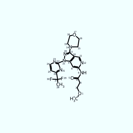 COCCC(=O)Nc1cc2c(cn1)c(N1CCOCC1)nn2-c1nccc(C(C)(F)F)n1